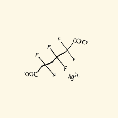 O=C([O-])C(F)(F)C(F)(F)C(F)(F)C(=O)[O-].[Ag+2]